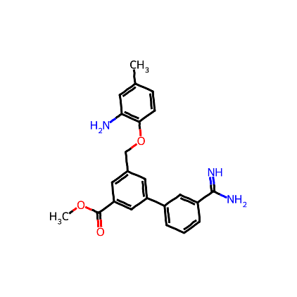 COC(=O)c1cc(COc2ccc(C)cc2N)cc(-c2cccc(C(=N)N)c2)c1